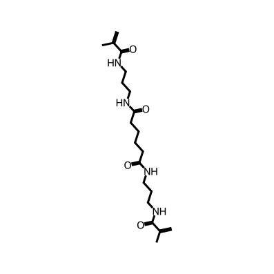 C=C(C)C(=O)NCCCNC(=O)CCCCC(=O)NCCCNC(=O)C(=C)C